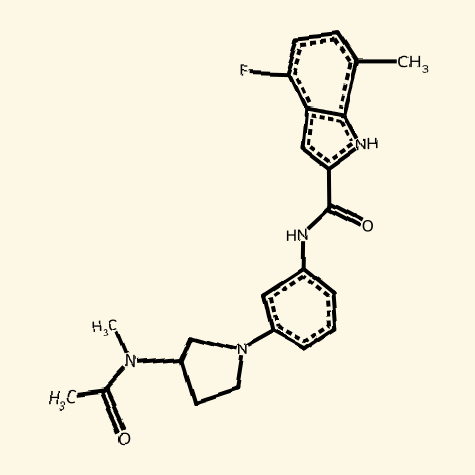 CC(=O)N(C)C1CCN(c2cccc(NC(=O)c3cc4c(F)ccc(C)c4[nH]3)c2)C1